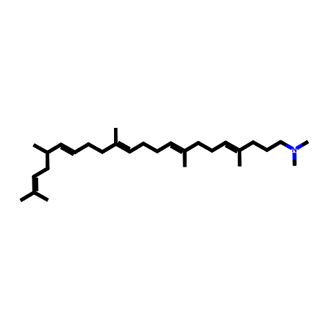 CC(C)=CCC(C)/C=C/CC/C(C)=C/CC/C=C(\C)CC/C=C(\C)CCCN(C)C